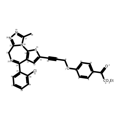 CCOC(=O)C(=O)c1ccc(OCC#Cc2cc3c(s2)-n2c(C)nnc2CN=C3c2ccccc2Cl)cc1